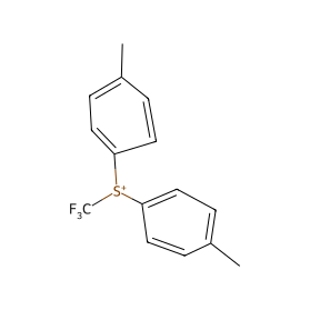 Cc1ccc([S+](c2ccc(C)cc2)C(F)(F)F)cc1